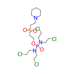 O=P(OCCS(=O)(=O)CCN1CCCCC1)(N(CCCl)CCCl)N(CCCl)CCCl